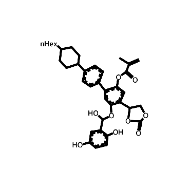 C=C(C)C(=O)Oc1cc(C2COC(=O)O2)c(OC(O)c2cc(O)ccc2O)cc1-c1ccc(C2CCC(CCCCCC)CC2)cc1